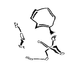 CCCCCCCCCOS(=O)(=O)Oc1ccccc1.CCOCC